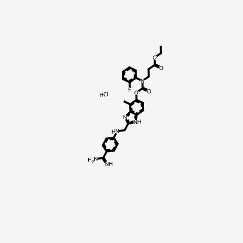 CCOC(=O)CCN(C(=O)Oc1ccc2[nH]c(CNc3ccc(C(=N)N)cc3)nc2c1C)c1ccccc1F.Cl